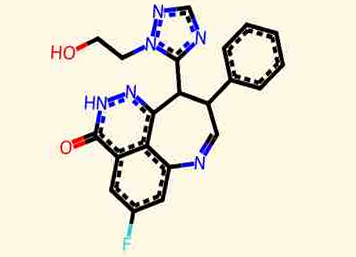 O=c1[nH]nc2c3c(cc(F)cc13)N=CC(c1ccccc1)C2c1ncnn1CCO